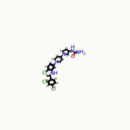 CC(Nc1cc(N2CCC(N3CCC(NC(N)=O)C3)CC2)ccc1Cl)c1ccc(Cl)cc1Cl